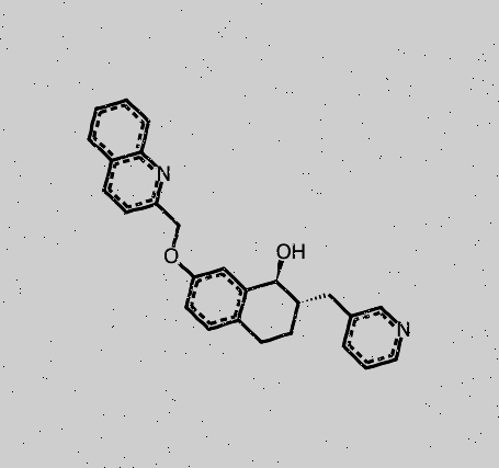 O[C@@H]1c2cc(OCc3ccc4ccccc4n3)ccc2CC[C@H]1Cc1cccnc1